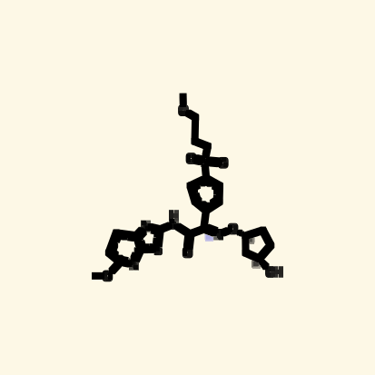 COCCCS(=O)(=O)c1ccc(/C(=N\O[C@@H]2CC[C@@H](O)C2)C(=O)Nc2nc3ccc(OC)nc3s2)cc1